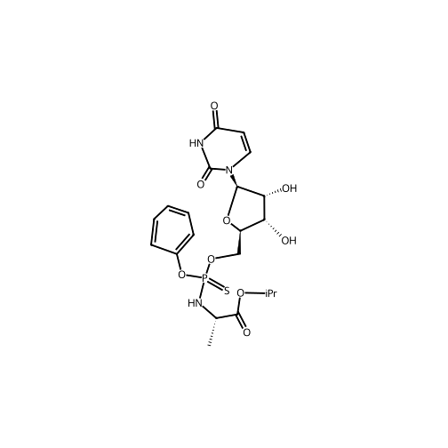 CC(C)OC(=O)[C@H](C)NP(=S)(OC[C@H]1O[C@@H](n2ccc(=O)[nH]c2=O)[C@H](O)[C@@H]1O)Oc1ccccc1